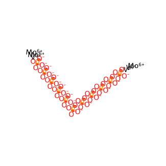 O=P([O-])([O-])[O-].O=P([O-])([O-])[O-].O=P([O-])([O-])[O-].O=P([O-])([O-])[O-].O=P([O-])([O-])[O-].O=P([O-])([O-])[O-].O=P([O-])([O-])[O-].O=P([O-])([O-])[O-].O=P([O-])([O-])[O-].O=P([O-])([O-])[O-].O=P([O-])([O-])[O-].[Mo+6].[Mo+6].[Mo+6].[V+5].[V+5].[V+5]